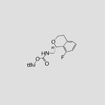 CC(C)(C)OC(=O)NC[C@@H]1OCCc2cccc(F)c21